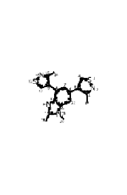 Cc1nscc1-c1cc(-c2csnc2C)c2nc(C)n(C)c2c1